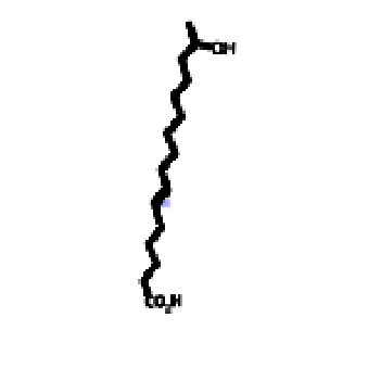 CC(O)CCCCCCC/C=C/CCCCC(=O)O